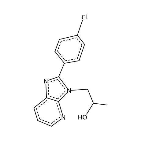 CC(O)Cn1c(-c2ccc(Cl)cc2)nc2cccnc21